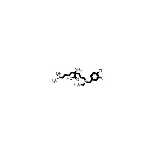 CCN(CCCC(N)(CCCCB(C)O)C(=O)O)Cc1ccc(Cl)c(Cl)c1